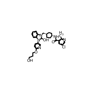 Cc1ncc(Cl)cc1C(=O)N[C@H]1CC[C@H](CN2c3ccccc3N(c3ccc(OCCCO)nc3)C2O)CC1